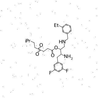 CCc1cccc(CNCC(OC(=O)CCS(=O)(=O)CCC(C)C)C(N)Cc2cc(F)cc(F)c2)c1